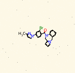 Cc1ccn(-c2ccc(C(=O)N3Cc4cccn4Cc4ccccc43)c(Br)c2)n1